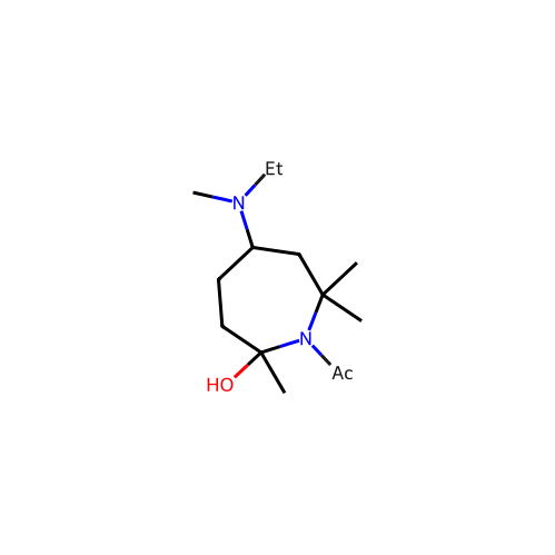 CCN(C)C1CCC(C)(O)N(C(C)=O)C(C)(C)C1